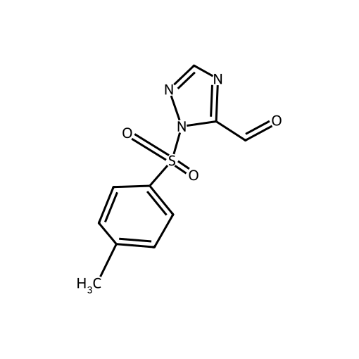 Cc1ccc(S(=O)(=O)n2ncnc2C=O)cc1